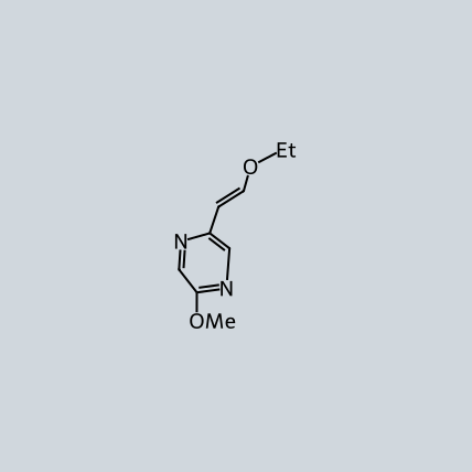 CCOC=Cc1cnc(OC)cn1